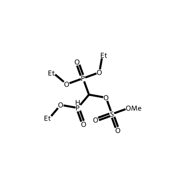 CCO[PH](=O)C(OS(=O)(=O)OC)P(=O)(OCC)OCC